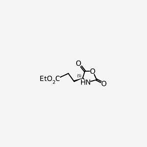 CCOC(=O)CC[C@@H]1NC(=O)OC1=O